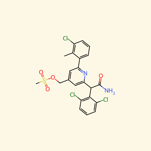 Cc1c(Cl)cccc1-c1cc(COS(C)(=O)=O)cc(C(C(N)=O)c2c(Cl)cccc2Cl)n1